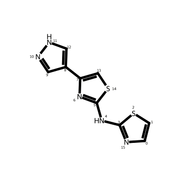 c1csc(Nc2nc(-c3cn[nH]c3)cs2)n1